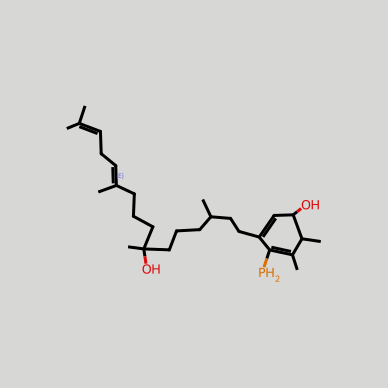 CC(C)=CC/C=C(\C)CCCC(C)(O)CCCC(C)CCC1=CC(O)C(C)C(C)=C1P